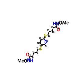 CONC(=O)CCCCSc1ccc(SCCCCC(=O)NOC)nc1